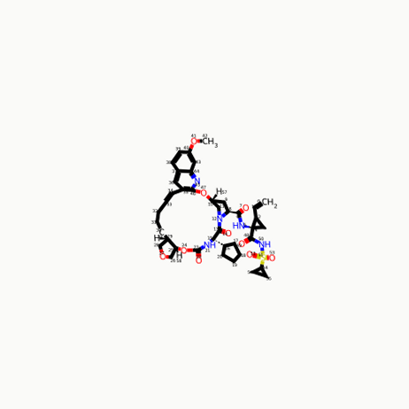 C=CC1C[C@]1(NC(=O)[C@@H]1C[C@@H]2CN1C(=O)[C@H](C1CCCC1)NC(=O)O[C@H]1COC[C@@H]1CCC/C=C/c1cc3ccc(OC)cc3nc1O2)C(=O)NS(=O)(=O)C1CC1